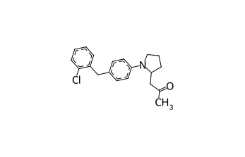 CC(=O)CC1CCCN1c1ccc(Cc2ccccc2Cl)cc1